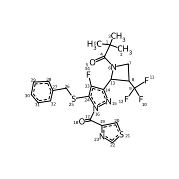 CC(C)(C)C(=O)N1CC(C(F)(F)F)C1c1nn(C(=O)c2cscn2)c(SCc2ccccc2)c1F